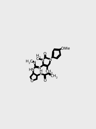 C=CC(=O)NC1COCC1N/C(N=C)=N/C1=C(C)CN(c2ccc(OC)cc2)C(=O)N1C